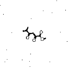 COC(=O)C(=O)CC(=O)C(C)C